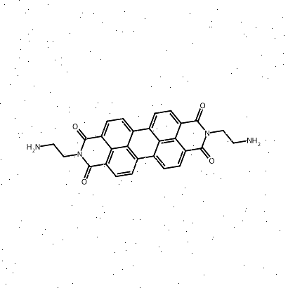 NCCN1C(=O)c2ccc3c4ccc5c6c(ccc(c7ccc(c2c37)C1=O)c64)C(=O)N(CCN)C5=O